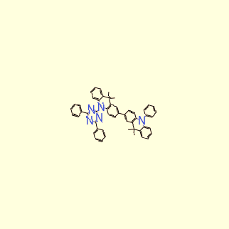 CC1(C)c2ccccc2N(c2ccccc2)c2ccc(-c3ccc4c(c3)C(C)(C)c3ccccc3N4c3nc(-c4ccccc4)nc(-c4ccccc4)n3)cc21